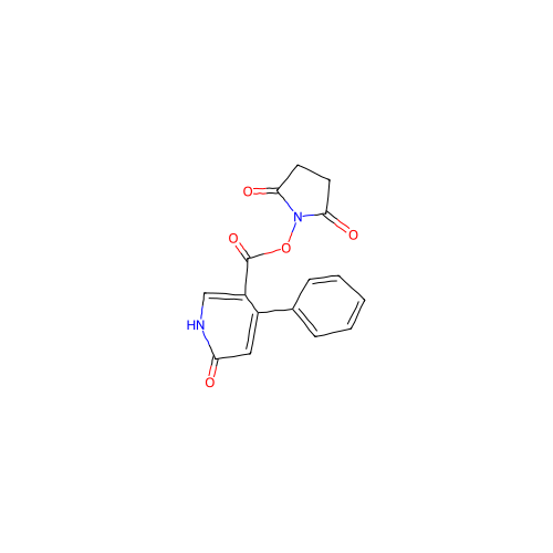 O=C(ON1C(=O)CCC1=O)c1c[nH]c(=O)cc1-c1ccccc1